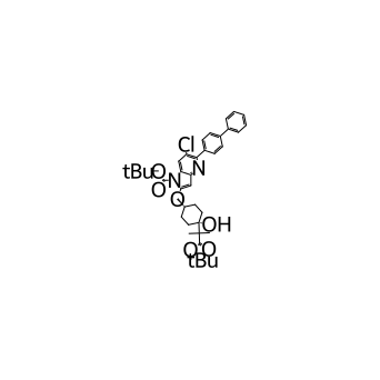 CC(C)(C)OC(=O)n1c(O[C@H]2CC[C@@](O)(C(C)(C)C(=O)OC(C)(C)C)CC2)cc2nc(-c3ccc(-c4ccccc4)cc3)c(Cl)cc21